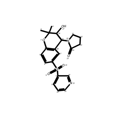 CC1(C)Oc2ccc(S(=O)(=O)c3cccnc3)cc2C(N2CCCC2=O)C1O